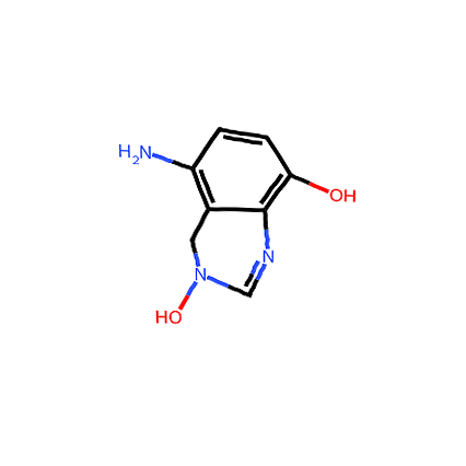 Nc1ccc(O)c2c1CN(O)C=N2